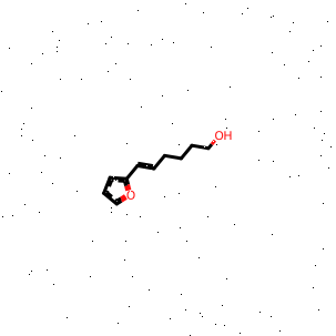 OCCCCC=Cc1ccco1